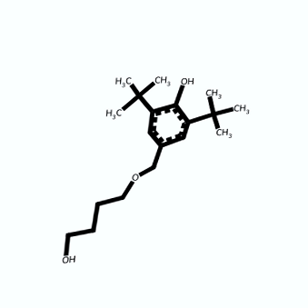 CC(C)(C)c1cc(COCCCCO)cc(C(C)(C)C)c1O